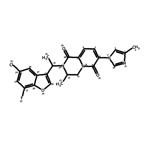 Cc1cn(-c2ccc3n(c2=O)CC(C)N(C(C)c2coc4c(F)cc(Cl)cc24)C3=O)cn1